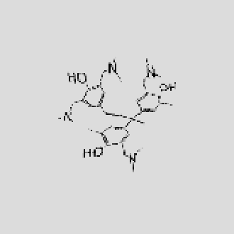 Cc1cc(C(C)(CCc2cc(CN(C)C)c(O)c(CN(C)C)c2)c2cc(C)c(O)c(CN(C)C)c2)cc(CN(C)C)c1O